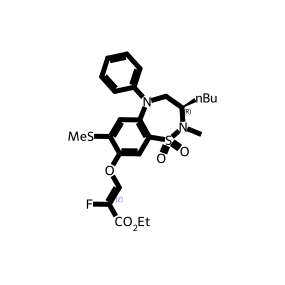 CCCC[C@@H]1CN(c2ccccc2)c2cc(SC)c(O/C=C(\F)C(=O)OCC)cc2S(=O)(=O)N1C